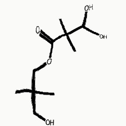 CC(C)(CO)COC(=O)C(C)(C)C(O)O